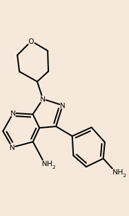 Nc1ccc(-c2nn(C3CCOCC3)c3ncnc(N)c23)cc1